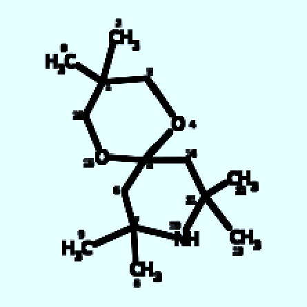 CC1(C)COC2(CC(C)(C)NC(C)(C)C2)OC1